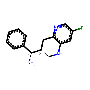 N[C@H](c1ccccc1)[C@H]1CNc2cc(F)cnc2C1